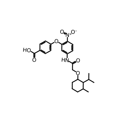 CC(C)C1C(C)CCCC1OCC(=O)Nc1ccc([N+](=O)[O-])c(Oc2ccc(C(=O)O)cc2)c1